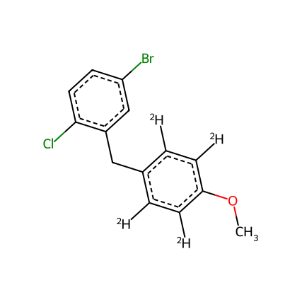 [2H]c1c([2H])c(OC)c([2H])c([2H])c1Cc1cc(Br)ccc1Cl